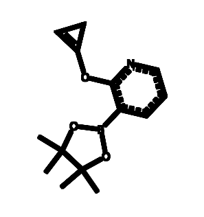 CC1(C)OB(c2cccnc2OC2=CC2)OC1(C)C